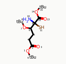 CC(C)(C)OC(=O)CCC(OC(C)(C)C)C(N)(S)C(=O)OC(C)(C)C